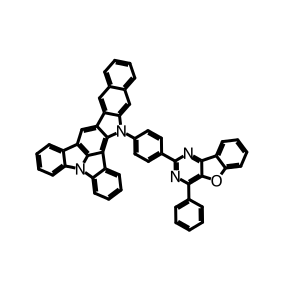 c1ccc(-c2nc(-c3ccc(-n4c5cc6ccccc6cc5c5cc6c7ccccc7n7c8ccccc8c(c54)c67)cc3)nc3c2oc2ccccc23)cc1